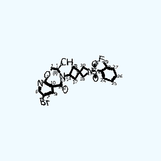 C[C@@H]1COc2ncc(Br)cc2C(=O)N1C1CC2(C1)CN(S(=O)(=O)c1ccccc1F)C2